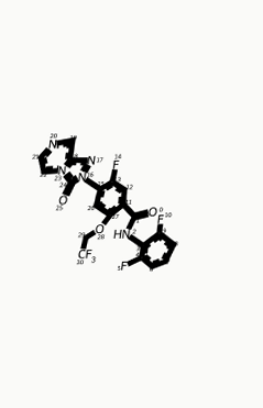 O=C(Nc1c(F)cccc1F)c1cc(F)c(-n2nc3cnccn3c2=O)cc1OCC(F)(F)F